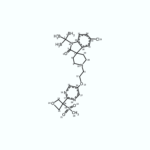 BC(B)(B)N1C(=O)C2(CCN(CCOc3cnc(C4(S(C)(=O)=O)COC4)nc3)CC2)c2cc(Cl)ccc21